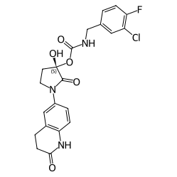 O=C1CCc2cc(N3CC[C@](O)(OC(=O)NCc4ccc(F)c(Cl)c4)C3=O)ccc2N1